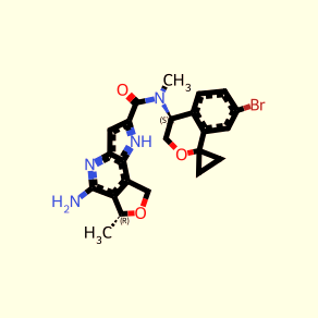 C[C@H]1OCc2c1c(N)nc1cc(C(=O)N(C)[C@@H]3COC4(CC4)c4cc(Br)ccc43)[nH]c21